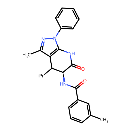 Cc1cccc(C(=O)N[C@@H]2C(=O)Nc3c(c(C)nn3-c3ccccc3)C2C(C)C)c1